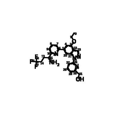 CCOc1cc(-c2cccc([C@@H](N)CCC(F)(F)F)n2)cc2c1cnn2-c1cccc(CO)n1